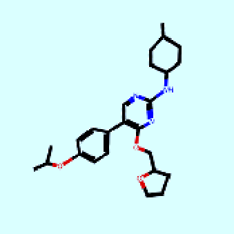 CC1CCC(Nc2ncc(-c3ccc(OC(C)C)cc3)c(OCC3CCCO3)n2)CC1